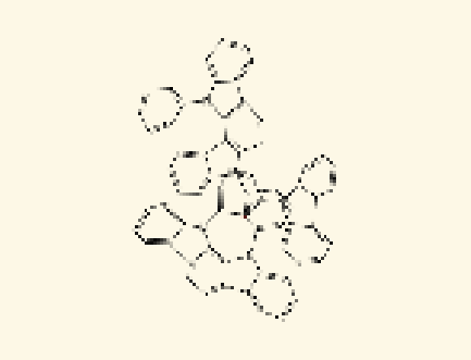 C1=CC2c3ccccc3N(c3cccc(-n4c5ccccc5c5ccc6c7ccccc7n(-c7cccc(-n8c9ccccc9c9c8ccc8c%10ccccc%10n(-c%10ccccc%10)c89)c7)c6c54)c3)C2C=C1